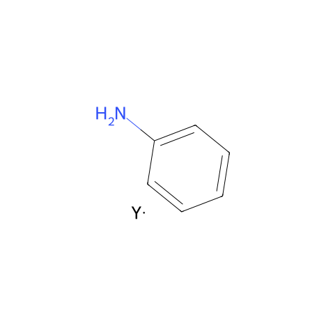 Nc1ccccc1.[Y]